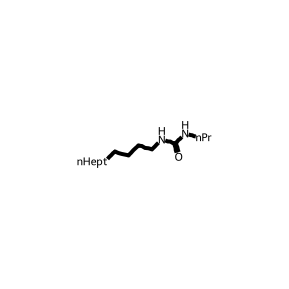 CCCCCCCCCCCNC(=O)NCCC